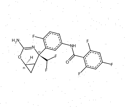 NC1=N[C@@](c2cc(NC(=O)c3c(F)cc(F)cc3F)ccc2F)(C(F)F)C2C[C@H]2O1